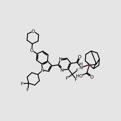 O=C(NC1(C(=O)O)C2CCC3CC(C2)CC1C3)c1cnc(-c2cn(C3CCC(F)(F)CC3)c3cc(OC4CCOCC4)ccc23)nc1C(F)(F)F